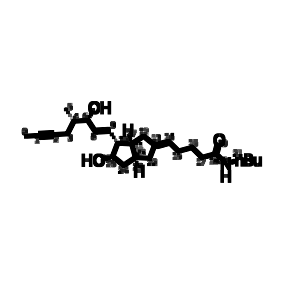 CC#CC[C@H](C)[C@H](O)/C=C/[C@@H]1[C@H]2C/C(=C/CCCC(=O)NCCCC)C[C@H]2C[C@H]1O